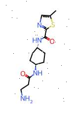 Cc1cnc(C(=O)N[C@H]2CC[C@H](NC(=O)CCN)CC2)s1